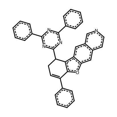 C1=C(c2ccccc2)c2oc3cc4ccncc4cc3c2C(c2nc(-c3ccccc3)nc(-c3ccccc3)n2)C1